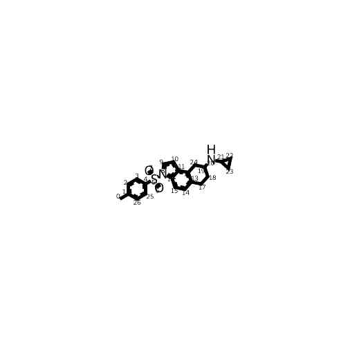 Cc1ccc(S(=O)(=O)n2ccc3c4c(ccc32)CCC(NC2CC2)C4)cc1